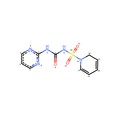 O=C(Nc1ncccn1)NS(=O)(=O)N1C=CC=CC1